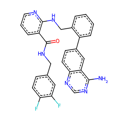 Nc1ncnc2ccc(-c3ccccc3CNc3ncccc3C(=O)NCc3ccc(F)c(F)c3)cc12